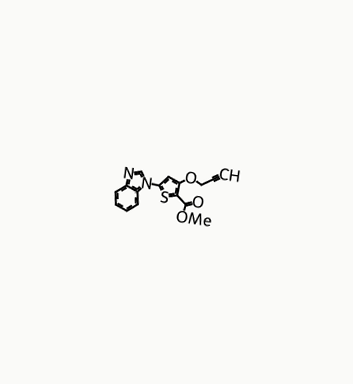 C#CCOc1cc(-n2cnc3ccccc32)sc1C(=O)OC